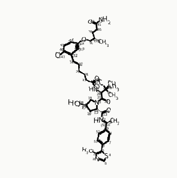 Cc1ncsc1-c1ccc([C@H](C)NC(=O)[C@@H]2C[C@@H](O)CN2C(=O)[C@@H](NC(=O)CCCCCc2cc(OC[C@@H](C)CCC(N)=O)ccc2Cl)C(C)(C)C)cc1